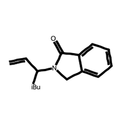 C=CC(C(C)CC)N1Cc2ccccc2C1=O